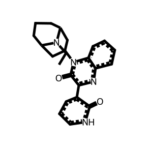 CCN1C2CCCC1CC(n1c(=O)c(-c3ccc[nH]c3=O)nc3ccccc31)C2